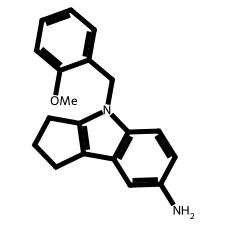 COc1ccccc1Cn1c2c(c3cc(N)ccc31)CCC2